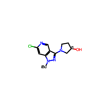 CCC(C)n1nc(N2CC[C@@H](O)C2)c2cnc(Cl)cc21